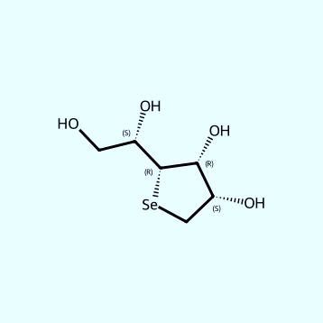 OC[C@H](O)[C@H]1[Se]C[C@@H](O)[C@H]1O